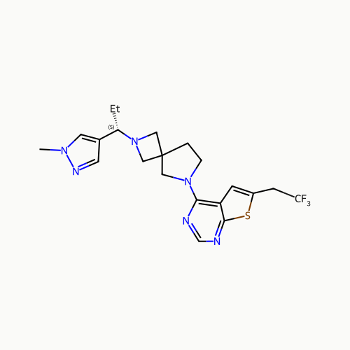 CC[C@@H](c1cnn(C)c1)N1CC2(CCN(c3ncnc4sc(CC(F)(F)F)cc34)C2)C1